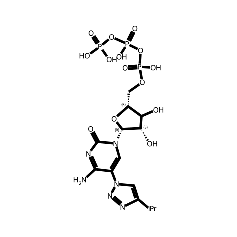 CC(C)c1cn(-c2cn([C@@H]3O[C@H](COP(=O)(O)OP(=O)(O)OP(=O)(O)O)C(O)[C@@H]3O)c(=O)nc2N)nn1